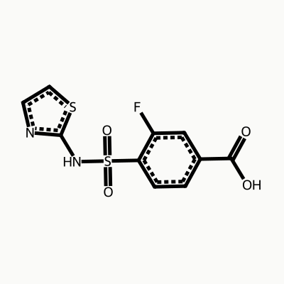 O=C(O)c1ccc(S(=O)(=O)Nc2nccs2)c(F)c1